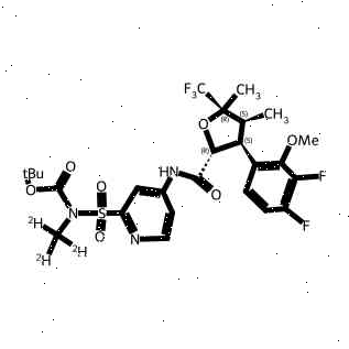 [2H]C([2H])([2H])N(C(=O)OC(C)(C)C)S(=O)(=O)c1cc(NC(=O)[C@@H]2O[C@@](C)(C(F)(F)F)[C@@H](C)[C@H]2c2ccc(F)c(F)c2OC)ccn1